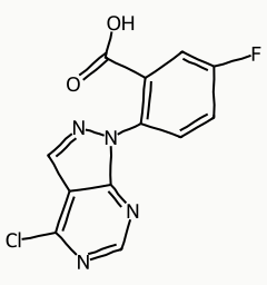 O=C(O)c1cc(F)ccc1-n1ncc2c(Cl)ncnc21